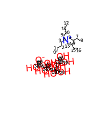 CCCC[N+](CCCC)(CCCC)CCCC.OB(O)O.OB(O)O.OB(O)O.[O-]B(O)O